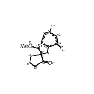 COC(=O)C1(Cc2ccc(F)cc2F)CCCC1=O